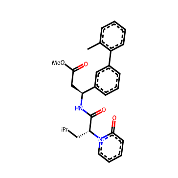 COC(=O)C[C@H](NC(=O)[C@@H](CC(C)C)n1ccccc1=O)c1cccc(-c2ccccc2C)c1